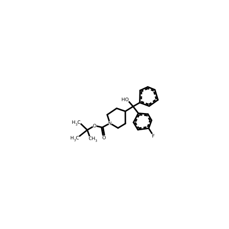 CC(C)(C)OC(=O)N1CCC(C(O)(c2ccccc2)c2ccc(F)cc2)CC1